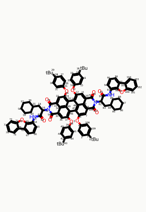 CC(C)(C)c1ccc(Oc2cc3c4c(cc(Oc5ccc(C(C)(C)C)cc5)c5c6c(Oc7ccc(C(C)(C)C)cc7)cc7c8c(cc(Oc9ccc(C(C)(C)C)cc9)c(c2c45)c86)C(=O)N(C(CC2CCCCC2)C(=O)Nc2cccc4c2oc2ccccc24)C7=O)C(=O)N(C(CC2CCCCC2)C(=O)Nc2cccc4c2oc2ccccc24)C3=O)cc1